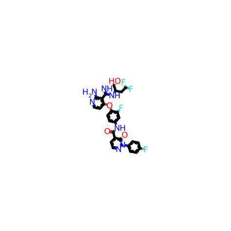 N=C(NC(CO)CC(F)F)c1c(Oc2ccc(NC(=O)c3ccnn(-c4ccc(F)cc4)c3=O)cc2F)ccnc1N